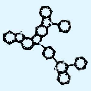 c1ccc(-c2nc(-c3ccc(-n4c5cc6c(cc5c5c7oc8ccccc8c7ccc54)c4ccccc4n6-c4ccccc4)cc3)nc3ccccc23)cc1